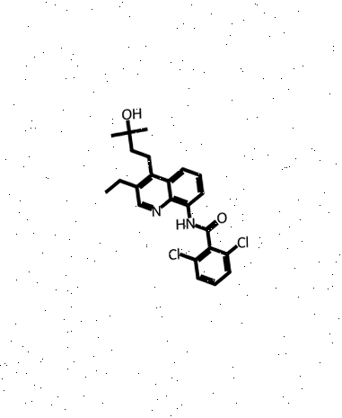 CCc1cnc2c(NC(=O)c3c(Cl)cccc3Cl)cccc2c1CCC(C)(C)O